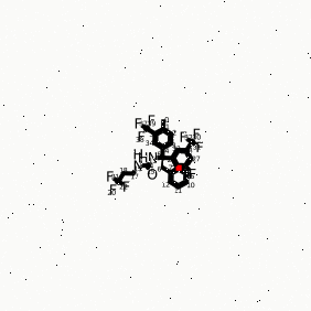 Cc1ccc([C@@](Cc2ccccc2)(NC(=O)NCCC(F)(F)F)c2cc(F)cc(C(F)(F)F)c2)cc1C(F)(F)F